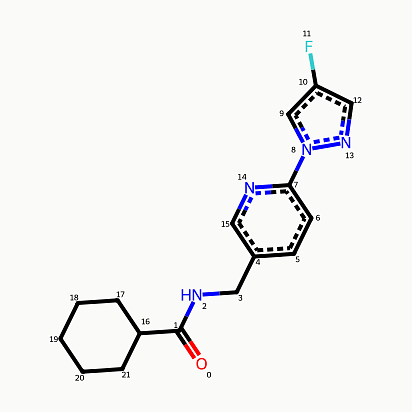 O=C(NCc1ccc(-n2cc(F)cn2)nc1)C1CCCCC1